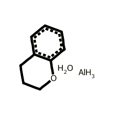 O.[AlH3].c1ccc2c(c1)CCCO2